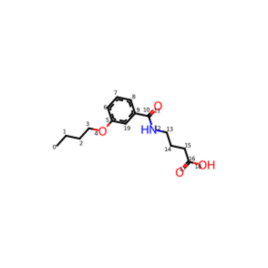 CCCCOc1cccc(C(=O)NCCCC(=O)O)c1